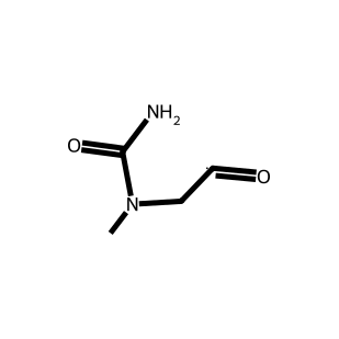 CN(C[C]=O)C(N)=O